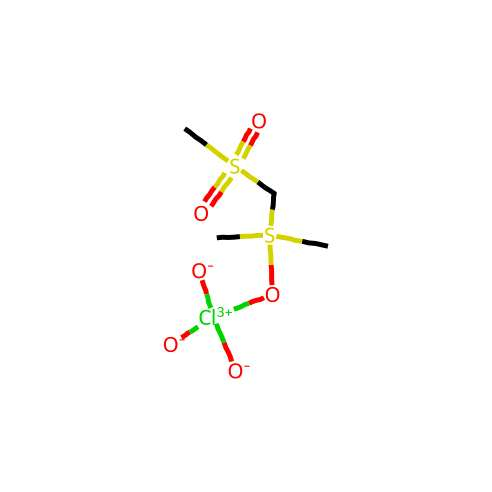 CS(C)(CS(C)(=O)=O)O[Cl+3]([O-])([O-])[O-]